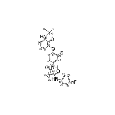 CC1(C)COc2c(Oc3ccc(NC(=O)C4(C(=O)Nc5ccc(F)cc5)CC4)cc3F)ccnc2N1